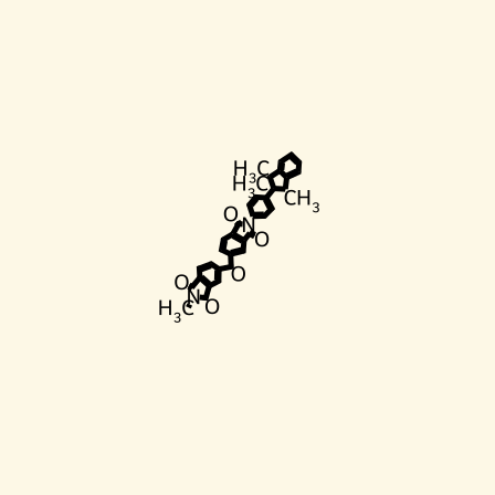 CC1c2ccccc2C(C)(C)C1c1ccc(N2C(=O)c3ccc(C(=O)c4ccc5c(c4)C(=O)N(C)C5=O)cc3C2=O)cc1